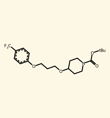 CC(C)(C)OC(=O)N1CCC(OCCCOc2ccc(C(F)(F)F)cc2)CC1